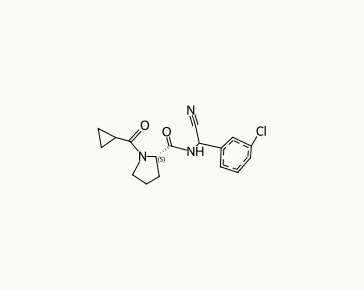 N#CC(NC(=O)[C@@H]1CCCN1C(=O)C1CC1)c1cccc(Cl)c1